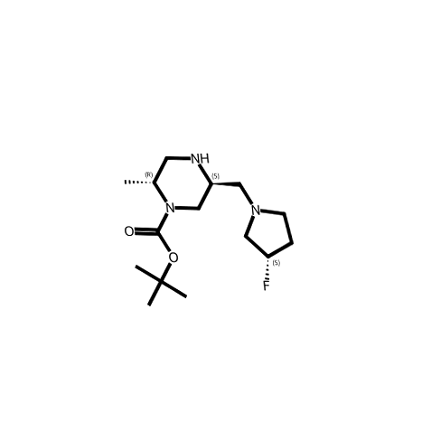 C[C@@H]1CN[C@@H](CN2CC[C@H](F)C2)CN1C(=O)OC(C)(C)C